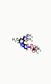 C=C1CC(=CN(C)C)C(=O)c2c3c(nn2C1)CCN(C(=O)OC(C)(C)C)C3